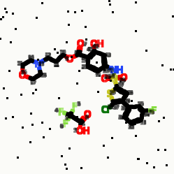 O=C(O)C(F)(F)F.O=C(OCCCN1CCOCC1)c1ccc(NS(=O)(=O)c2cc(-c3cccc(F)c3)c(Cl)s2)cc1O